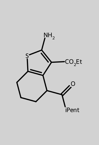 CCCC(C)C(=O)C1CCCc2sc(N)c(C(=O)OCC)c21